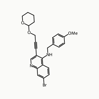 COc1ccc(CNc2c(C#CCOC3CCCCO3)cnc3cc(Br)ccc23)cc1